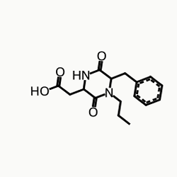 CCCN1C(=O)C(CC(=O)O)NC(=O)C1Cc1ccccc1